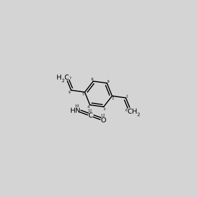 C=Cc1ccc(C=C)cc1.N=C=O